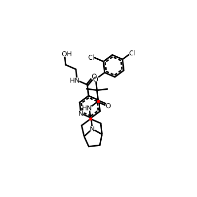 CC(C)(Oc1ccc(Cl)cc1Cl)C(=O)NC1CC2CCC(C1)N2c1ccc(C(=O)NCCO)cn1